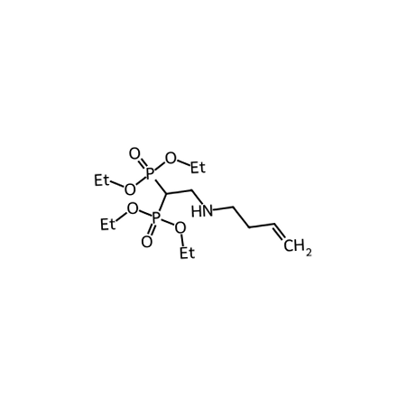 C=CCCNCC(P(=O)(OCC)OCC)P(=O)(OCC)OCC